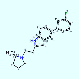 C[C@@H]1CCCN1CCc1cc2cc(-c3cccc(F)c3)ccc2[nH]1